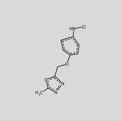 Cc1nnc(COc2ccc(NCl)cc2)o1